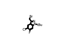 CC(C)(C)n1nc(CBr)c2cc(Cl)c(F)cc21